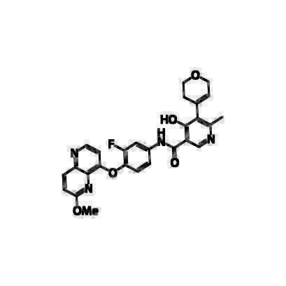 COc1ccc2nccc(Oc3ccc(NC(=O)c4cnc(C)c(C5=CCOCC5)c4O)cc3F)c2n1